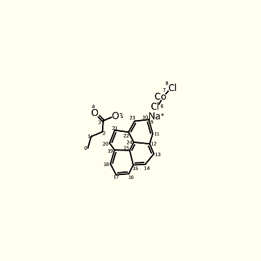 CCCC(=O)[O-].[Cl][Co][Cl].[Na+].c1cc2ccc3cccc4ccc(c1)c2c34